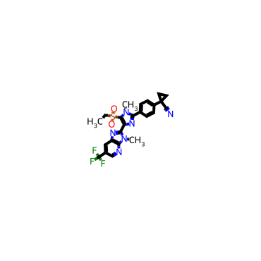 CCS(=O)(=O)c1c(-c2nc3cc(C(F)(F)F)cnc3n2C)nc(-c2ccc(C3(C#N)CC3)cc2)n1C